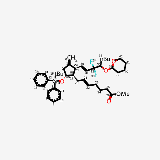 C=C1C[C@@H](O[Si](c2ccccc2)(c2ccccc2)C(C)(C)C)[C@H](CC=CCCCC(=O)OC)[C@@H]1C=CC(F)(F)C(CCCC)OC1CCCCO1